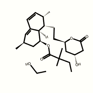 CCC(C)(C)C(=O)O[C@H]1C[C@@H](C)C=C2C=C[C@H](C)[C@H](CC[C@@H]3C[C@@H](O)CC(=O)O3)[C@H]21.CCO